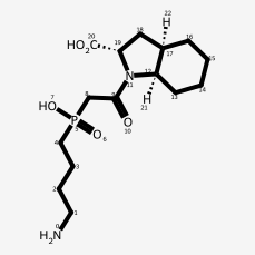 NCCCCP(=O)(O)CC(=O)N1[C@@H]2CCCC[C@@H]2C[C@H]1C(=O)O